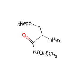 CCCCCCCCC(CCCCCC)C(=O)N(C)O